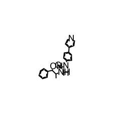 CC(NC(=O)Nc1ccc(-c2ccncc2)cc1)C(O)c1ccccc1